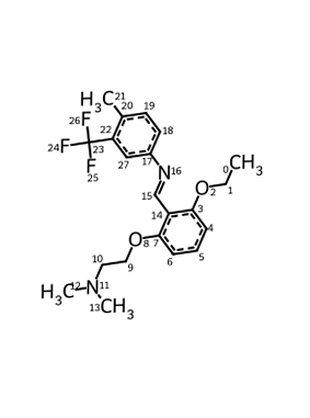 CCOc1cccc(OCCN(C)C)c1/C=N/c1ccc(C)c(C(F)(F)F)c1